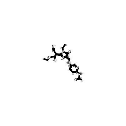 CCOC(=O)C(C#N)=c1sc(=CNc2ccc(NC(C)=O)nc2)c(=O)n1CC